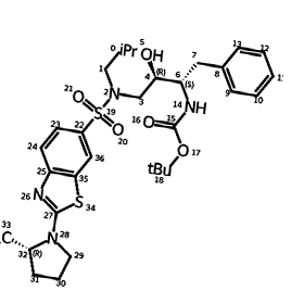 CC(C)CN(C[C@@H](O)[C@H](Cc1ccccc1)NC(=O)OC(C)(C)C)S(=O)(=O)c1ccc2nc(N3CCC[C@@H]3C(=O)O)sc2c1